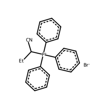 CCC(C#N)[P+](c1ccccc1)(c1ccccc1)c1ccccc1.[Br-]